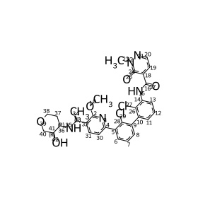 COc1nc(-c2cccc(-c3cccc(NC(=O)c4ccnn(C)c4=O)c3Cl)c2Cl)ccc1[C@H](C)N[C@@H]1CCOC[C@@H]1O